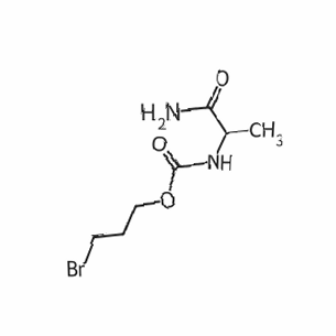 CC(NC(=O)OCCCBr)C(N)=O